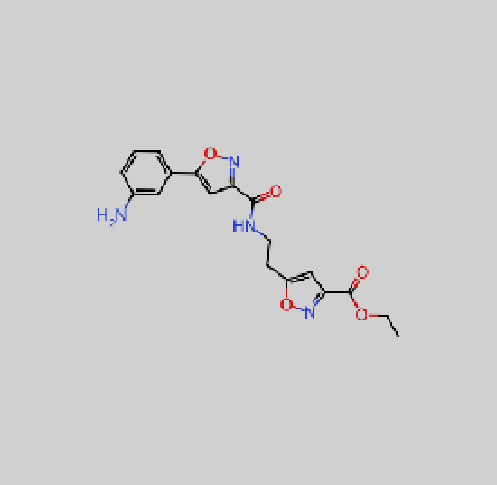 CCOC(=O)c1cc(CCNC(=O)c2cc(-c3cccc(N)c3)on2)on1